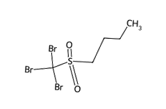 CCCCS(=O)(=O)C(Br)(Br)Br